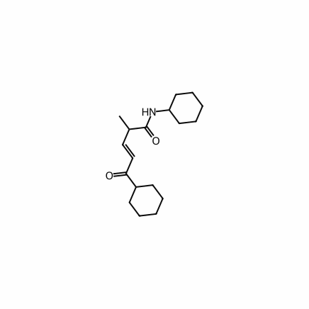 CC(C=CC(=O)C1CCCCC1)C(=O)NC1CCCCC1